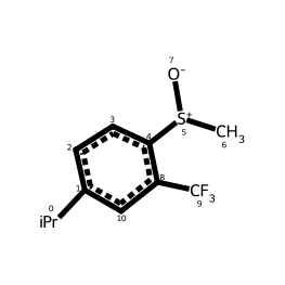 CC(C)c1ccc([S+](C)[O-])c(C(F)(F)F)c1